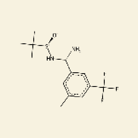 Cc1cc([C@@H](N)N[S@+]([O-])C(C)(C)C)cc(C(F)(F)F)c1